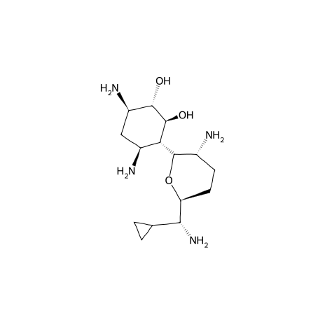 N[C@@H]1CC[C@@H]([C@H](N)C2CC2)OC1[C@H]1[C@H](O)[C@@H](O)[C@H](N)C[C@@H]1N